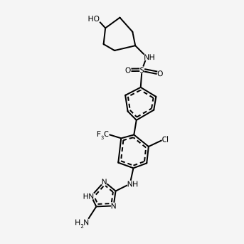 Nc1nc(Nc2cc(Cl)c(-c3ccc(S(=O)(=O)NC4CCC(O)CC4)cc3)c(C(F)(F)F)c2)n[nH]1